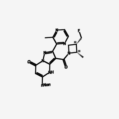 CCCCCCCCCc1cc(=O)n2nc(-c3nccnc3C)c(C(=O)N3C[C@H](CF)[C@@H]3C)c2[nH]1